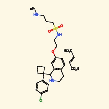 CCCNCCCS(=O)(=O)NCCOc1ccc2c(c1)C(C1(c3ccc(Cl)cc3)CCC1)NCC2.O=C(O)C=CC(=O)O